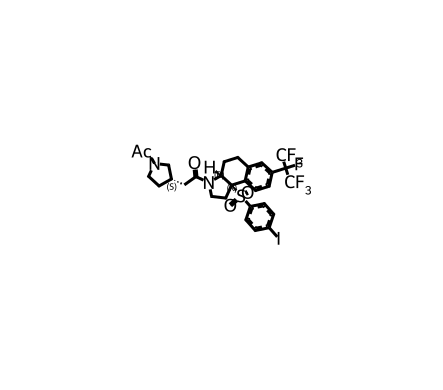 CC(=O)N1CC[C@@H](CC(=O)N2CC[C@@]3(S(=O)(=O)c4ccc(I)cc4)c4ccc(C(F)(C(F)(F)F)C(F)(F)F)cc4CC[C@@H]23)C1